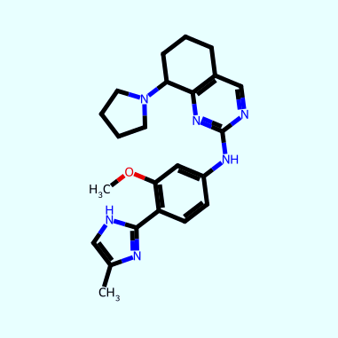 COc1cc(Nc2ncc3c(n2)C(N2CCCC2)CCC3)ccc1-c1nc(C)c[nH]1